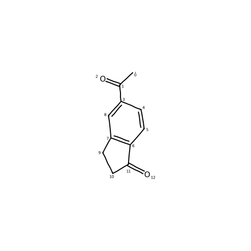 [CH2]C(=O)c1ccc2c(c1)CCC2=O